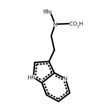 CC(C)(C)N(CCc1c[nH]c2cccnc12)C(=O)O